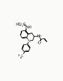 C=CC(=O)NC1Cc2c(NC(=O)O)cccc2N(c2ccc(C(F)(F)F)cc2)C1